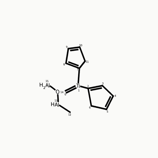 [CH2]=[Ti]([C]1=CC=CC1)[C]1=CC=CC1.[CH3][AlH][O][AlH2]